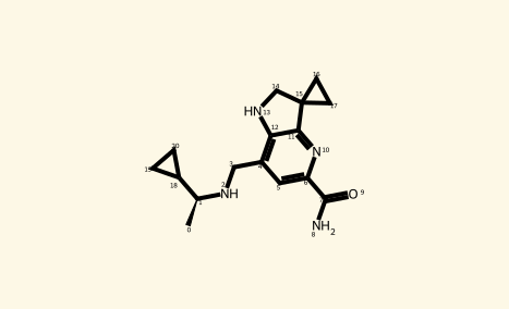 C[C@H](NCc1cc(C(N)=O)nc2c1NCC21CC1)C1CC1